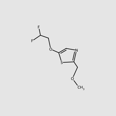 COCc1ncc(OCC(F)F)s1